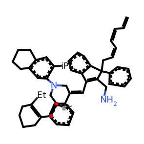 C=C/C=C\C=C/CC1(c2ccccc2)C(CN)=C(/C=C(\CN(C/C(=C\C2=C(CC)CCCC2)C(C)C)c2cc3c(cc2C(C)C)CCCC3)c2ccccc2)c2ccccc21